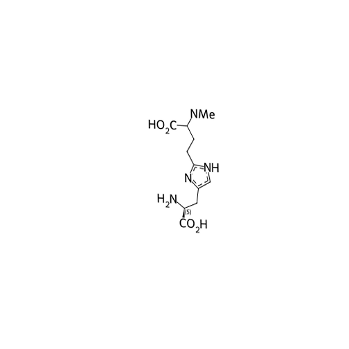 CNC(CCc1nc(C[C@H](N)C(=O)O)c[nH]1)C(=O)O